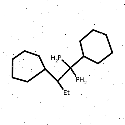 CCC(C1CCCCC1)C(P)(P)C1CCCCC1